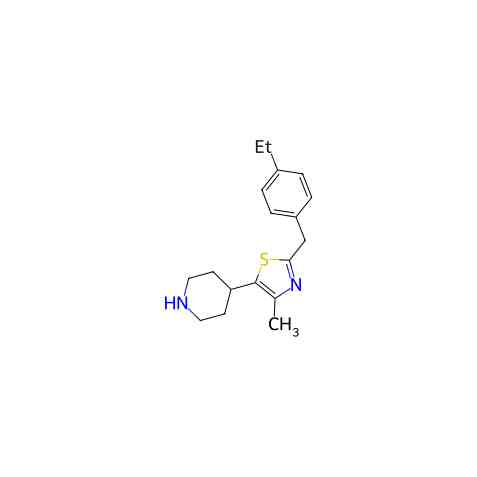 CCc1ccc(Cc2nc(C)c(C3CCNCC3)s2)cc1